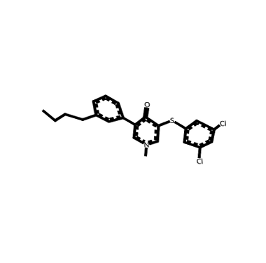 CCCCc1cccc(-c2cn(C)cc(Sc3cc(Cl)cc(Cl)c3)c2=O)c1